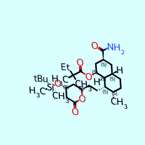 CCC(C)(C)C(=O)O[C@H]1C[C@@H](C(N)=O)C[C@@H]2CC[C@H](C)[C@H](CC[C@@H]3C[C@@H](O[Si](C)(C)C(C)(C)C)CC(=O)O3)[C@H]21